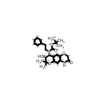 CC(C)(C)OC(=O)N(CCc1ccccc1)[C@H]1c2cc3c(cc2OC(C)(C)[C@@H]1O)NC(=O)CO3